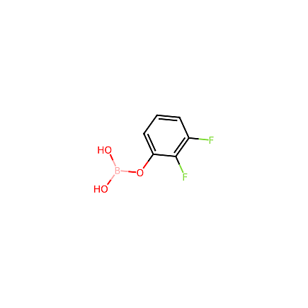 OB(O)Oc1cccc(F)c1F